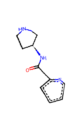 O=C(N[C@H]1CCNC1)c1ccccn1